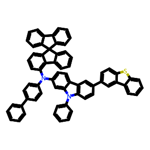 c1ccc(-c2ccc(N(c3ccc4c5cc(-c6ccc7sc8ccccc8c7c6)ccc5n(-c5ccccc5)c4c3)c3cccc4c3-c3ccccc3C43c4ccccc4-c4ccccc43)cc2)cc1